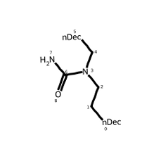 CCCCCCCCCCCCN(CCCCCCCCCCC)C(N)=O